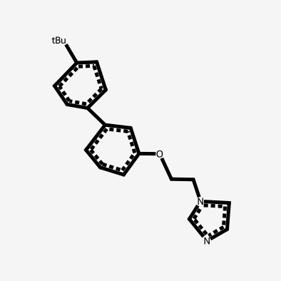 CC(C)(C)c1ccc(-c2cccc(OCCn3ccnc3)c2)cc1